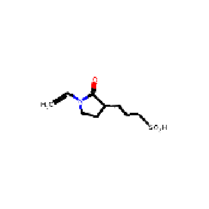 C=CN1CCC(CCCS(=O)(=O)O)C1=O